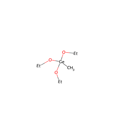 CC[O][Ge]([CH3])([O]CC)[O]CC